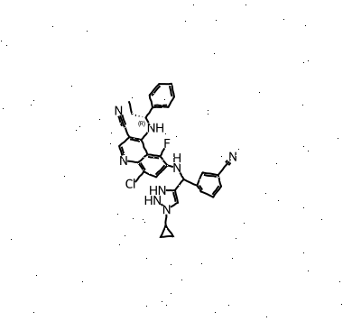 CC[C@@H](Nc1c(C#N)cnc2c(Cl)cc(NC(C3=CN(C4CC4)NN3)c3cccc(C#N)c3)c(F)c12)c1ccccc1